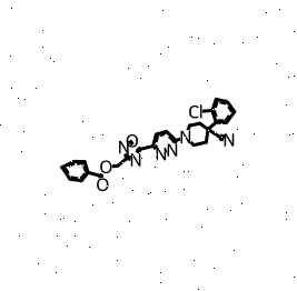 N#CC1(c2ccccc2Cl)CCN(c2ccc(-c3nc(COC(=O)c4ccccc4)no3)nn2)CC1